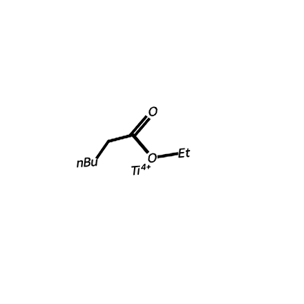 CCCCCC(=O)OCC.[Ti+4]